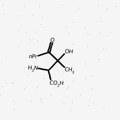 CCCC(=O)C(C)(O)C(N)C(=O)O